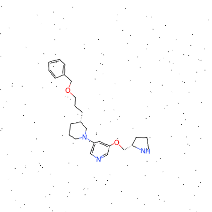 c1ccc(COCCC[C@H]2CCCN(c3cncc(OC[C@@H]4CCCN4)c3)C2)cc1